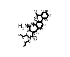 CCCN(CCC)C(=O)C1=Cc2ccc(-c3ccccc3C(C)=O)cc2N=C(N)C1